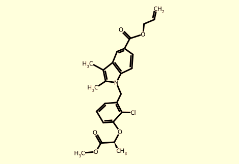 C=CCOC(=O)c1ccc2c(c1)c(C)c(C)n2Cc1cccc(O[C@@H](C)C(=O)OC)c1Cl